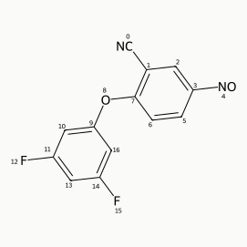 N#Cc1cc(N=O)ccc1Oc1cc(F)cc(F)c1